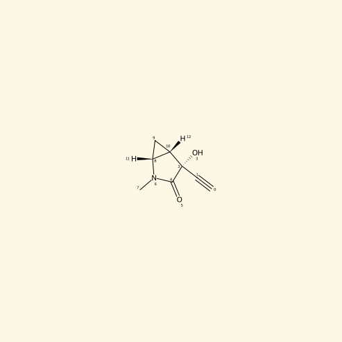 C#C[C@@]1(O)C(=O)N(C)[C@@H]2C[C@@H]21